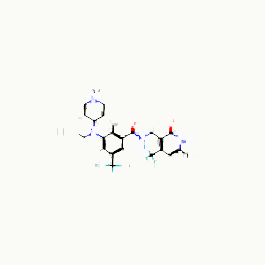 CCN(c1cc(C(F)(F)F)cc(C(=O)NCc2c(C(F)(F)F)cc(C)[nH]c2=O)c1C)C1CCN(C)CC1